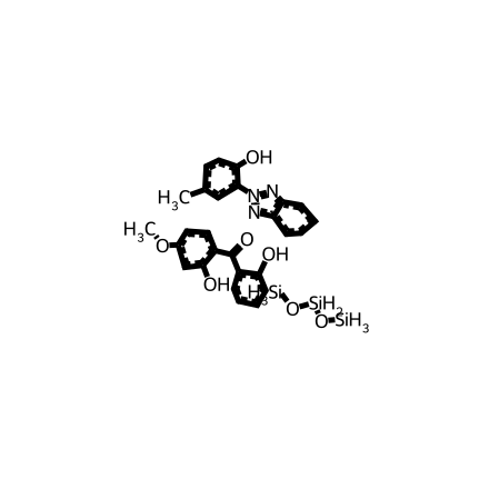 COc1ccc(C(=O)c2ccccc2O)c(O)c1.Cc1ccc(O)c(-n2nc3ccccc3n2)c1.[SiH3]O[SiH2]O[SiH3]